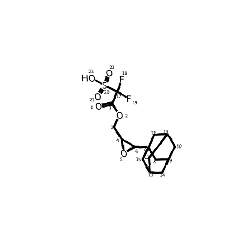 O=C(OCC1OC1C12CC3CC(CC(C3)C1)C2)C(F)(F)S(=O)(=O)O